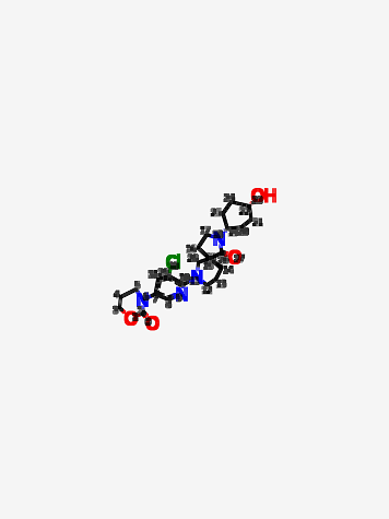 O=C1OCCCN1c1cnc(N2CCC[C@]3(CCN([C@H]4CC[C@@H](O)CC4)C3=O)C2)c(Cl)c1